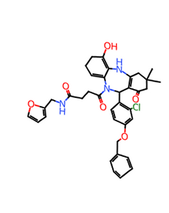 CC1(C)CC(=O)C2=C(C1)NC1=C(O)CCC=C1N(C(=O)CCC(=O)NCc1ccco1)C2c1ccc(OCc2ccccc2)cc1Cl